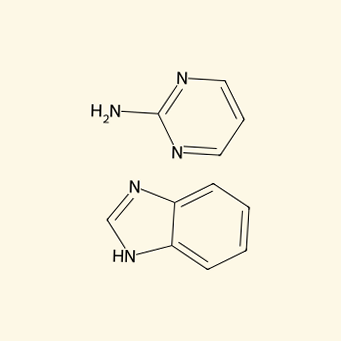 Nc1ncccn1.c1ccc2[nH]cnc2c1